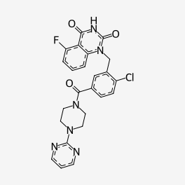 O=C(c1ccc(Cl)c(Cn2c(=O)[nH]c(=O)c3c(F)cccc32)c1)N1CCN(c2ncccn2)CC1